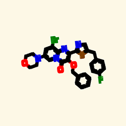 O=c1c(OCc2ccccc2)c(-c2ncc(Cc3ccc(F)cc3)s2)nc2c(Br)cc(N3CCOCC3)cn12